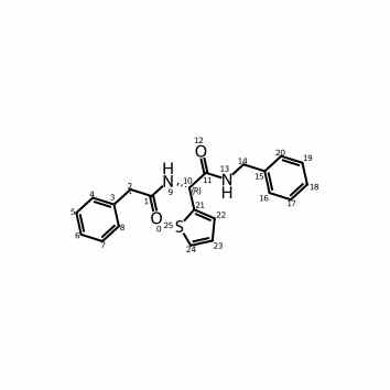 O=C([CH]c1ccccc1)N[C@H](C(=O)NCc1ccccc1)c1cccs1